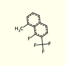 Cc1cccc2ccc(C(F)(F)F)c(F)c12